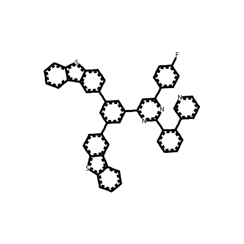 Fc1ccc(-c2cc(-c3cc(-c4ccc5sc6ccccc6c5c4)cc(-c4ccc5sc6ccccc6c5c4)c3)nc(-c3ccccc3-c3cccnc3)n2)cc1